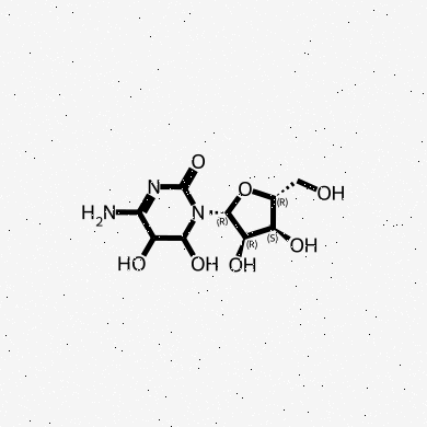 NC1=NC(=O)N([C@@H]2O[C@H](CO)[C@@H](O)[C@H]2O)C(O)C1O